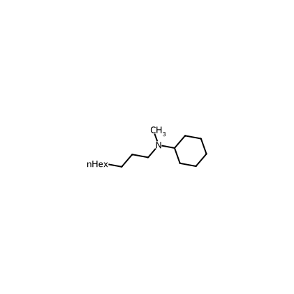 CCCCCCCCCN(C)C1CCCCC1